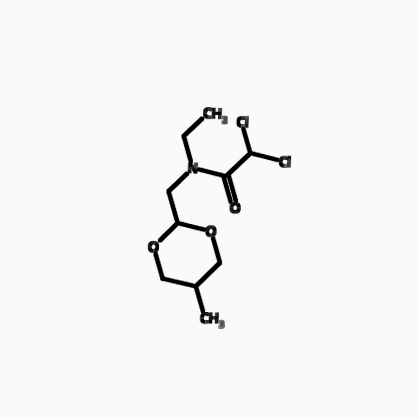 CCN(CC1OCC(C)CO1)C(=O)C(Cl)Cl